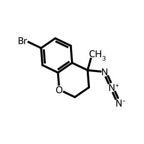 CC1(N=[N+]=[N-])CCOc2cc(Br)ccc21